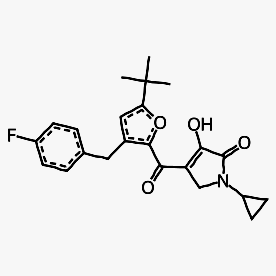 CC(C)(C)c1cc(Cc2ccc(F)cc2)c(C(=O)C2=C(O)C(=O)N(C3CC3)C2)o1